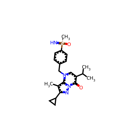 Cc1c(C2CC2)nn2c(=O)c(C(C)C)cn(Cc3ccc([S@@](C)(=N)=O)cc3)c12